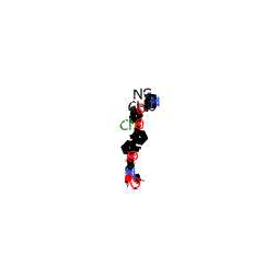 Cc1c(COc2cc(OCc3cncc(C#N)c3)c(C=O)cc2Cl)cccc1-c1cccc(OCCCN2C[C@@H](C)O[C@@H](C)C2)c1C